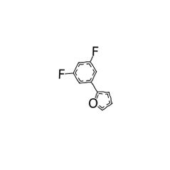 Fc1cc(F)cc(-c2ccco2)c1